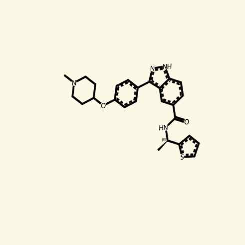 C[C@@H](NC(=O)c1ccc2[nH]nc(-c3ccc(OC4CCN(C)CC4)cc3)c2c1)c1cccs1